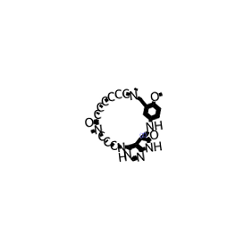 COc1ccc2cc1CN(C)CCCCCCC(=O)N(C)CCCNc1ncnc3c1/C(=C/N2)C(=O)N3